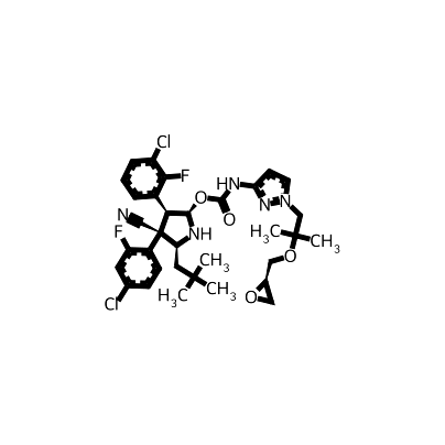 CC(C)(C)C[C@@H]1N[C@H](OC(=O)Nc2ccn(CC(C)(C)OC[C@H]3CO3)n2)[C@H](c2cccc(Cl)c2F)[C@@]1(C#N)c1ccc(Cl)cc1F